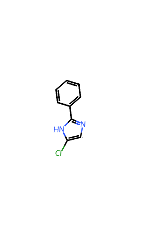 Clc1[c]nc(-c2ccccc2)[nH]1